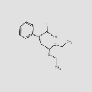 CCOC(CN(C(N)=S)c1ccccn1)OCC